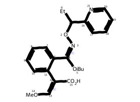 CCC(O/N=C(/OCC(C)C)c1ccccc1/C(=C\OC)C(=O)O)c1ccccn1